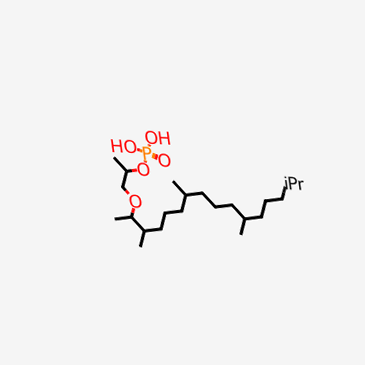 CC(C)CCCC(C)CCCC(C)CCCC(C)C(C)OCC(C)OP(=O)(O)O